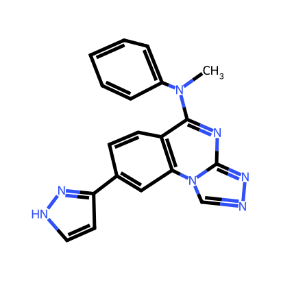 CN(c1ccccc1)c1nc2nncn2c2cc(-c3cc[nH]n3)ccc12